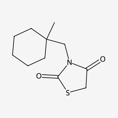 CC1(CN2C(=O)CSC2=O)CCCCC1